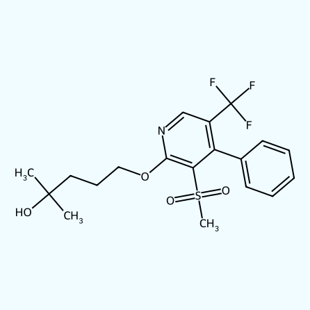 CC(C)(O)CCCOc1ncc(C(F)(F)F)c(-c2ccccc2)c1S(C)(=O)=O